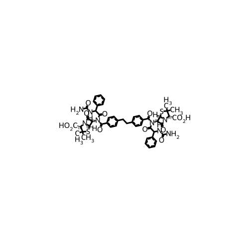 CC1(C)S[C@@H]2[C@H](N(C(=O)c3ccc(CCc4ccc(C(=O)N(C(=O)C(NC(N)=O)c5ccccc5)[C@@H]5C(=O)N6[C@@H]5SC(C)(C)[C@@H]6C(=O)O)cc4)cc3)C(=O)C(NC(N)=O)c3ccccc3)C(=O)N2[C@H]1C(=O)O